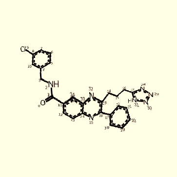 O=C(NCc1cccc(Cl)c1)c1ccc2nc(-c3ccccc3)c(CCCc3nnn[nH]3)nc2c1